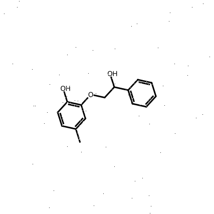 Cc1ccc(O)c(OCC(O)c2ccccc2)c1